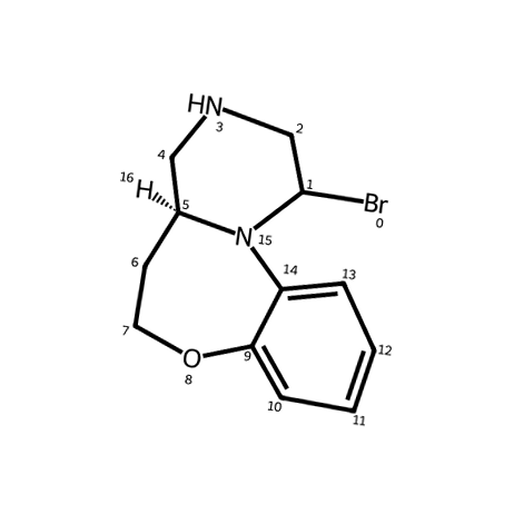 BrC1CNC[C@@H]2CCOc3ccccc3N12